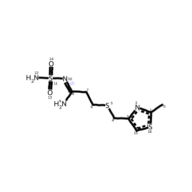 Cc1nc(CSCC/C(N)=N/S(N)(=O)=O)cs1